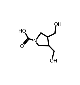 O=C(O)N1CC(CO)C(CO)C1